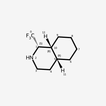 FC(F)(F)[C@H]1NCC[C@H]2CCCC[C@H]21